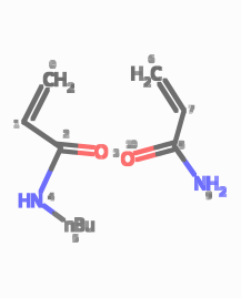 C=CC(=O)NCCCC.C=CC(N)=O